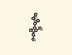 c1cncc(-c2ccc(N(c3ccc(-c4cccnc4)cc3)c3ccccc3-c3cccc(-c4ccc5c(c4)c4ccccc4n5-c4cccc5c4oc4ccccc45)c3)cc2)c1